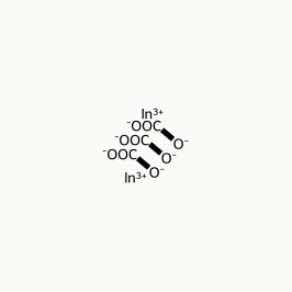 O=C([O-])[O-].O=C([O-])[O-].O=C([O-])[O-].[In+3].[In+3]